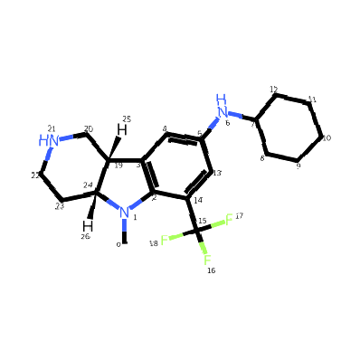 CN1c2c(cc(NC3CCCCC3)cc2C(F)(F)F)[C@H]2CNCC[C@H]21